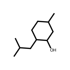 CC(C)CC1CCC(C)CC1O